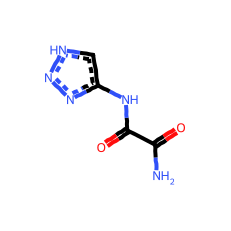 NC(=O)C(=O)Nc1c[nH]nn1